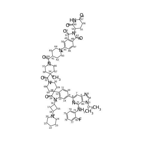 CC(C)n1cnc2cc(-c3ccc4c(c3)N(C3CC(N5CCCCC5)C3)C(=O)C43CCN(C(=O)C4(C)CCN(C(=O)C5CCN(c6ccc7c(c6)C(=O)N(C6CCC(=O)NC6=O)C7=O)CC5)CC4)CC3)nc(Nc3ccccc3F)c21